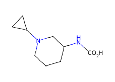 O=C(O)NC1CCCN(C2CC2)C1